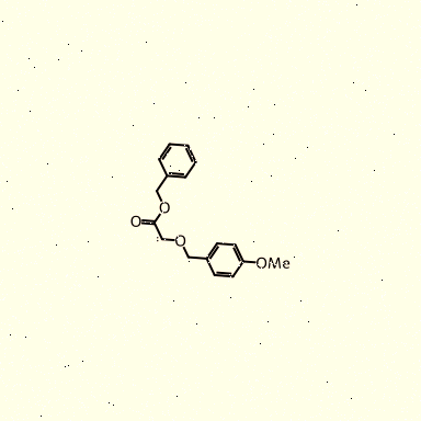 COc1ccc(CO[C]C(=O)OCc2ccccc2)cc1